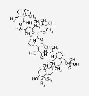 C=C(CNC(=O)[C@H](C)[C@@H](OC)C1CCCN1C(=O)C[C@@H](OC)[C@H]([C@@H](C)CC)N(C)C(=O)[C@@H](NC(=O)[C@H](C(C)C)N(C)C)C(C)C)[C@@H]1CC[C@]2(COP(=O)(O)O)CC[C@]3(C)C(CCC4[C@@]5(C)CC[C@H](O)C(C)(C)[C@@H]5CC[C@]43C)[C@@H]12